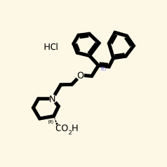 Cl.O=C(O)[C@@H]1CCCN(CCOC/C(=C/c2ccccc2)c2ccccc2)C1